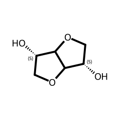 O[C@H]1COC2C1OC[C@@H]2O